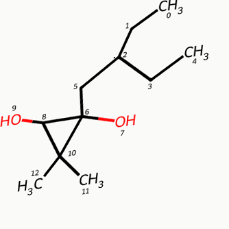 CC[C](CC)CC1(O)C(O)C1(C)C